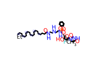 CC/C=C\C/C=C\C/C=C\C/C=C\C/C=C\C/C=C\CCC(=O)NCCNCCNP(=O)(OC[C@H]1O[C@@H](n2ccc(=O)[nH]c2=O)[C@](C)(F)[C@@H]1O)Oc1ccccc1